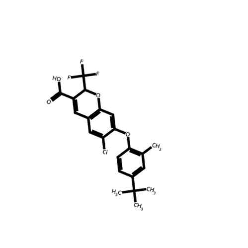 Cc1cc(C(C)(C)C)ccc1Oc1cc2c(cc1Cl)C=C(C(=O)O)C(C(F)(F)F)O2